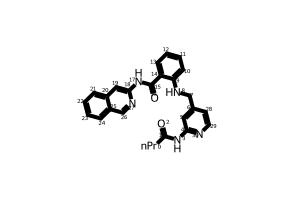 CCCC(=O)Nc1cc(CNc2ccccc2C(=O)Nc2cc3ccccc3cn2)ccn1